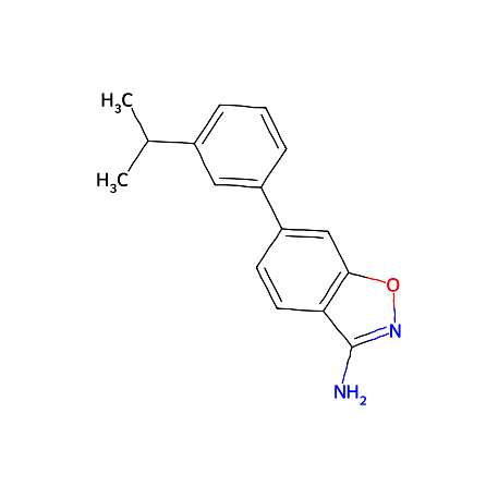 CC(C)c1cccc(-c2ccc3c(N)noc3c2)c1